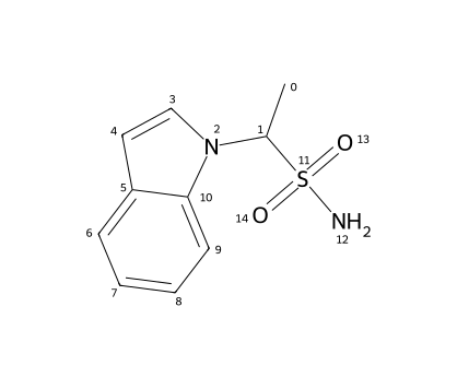 CC(n1ccc2ccccc21)S(N)(=O)=O